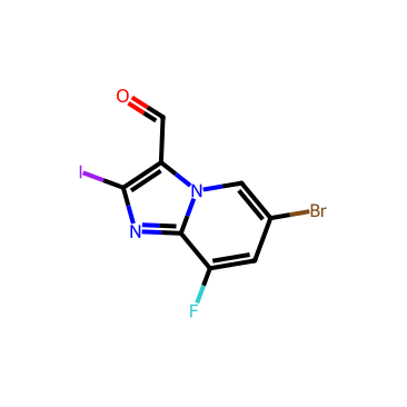 O=Cc1c(I)nc2c(F)cc(Br)cn12